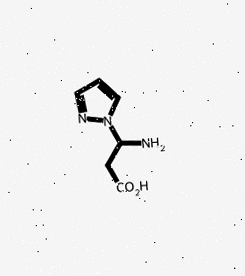 NC(CC(=O)O)n1cccn1